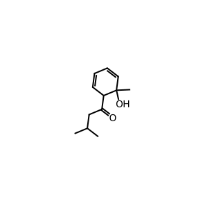 CC(C)CC(=O)C1C=CC=CC1(C)O